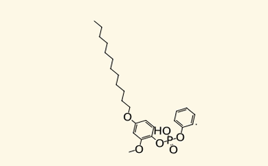 CCCCCCCCCCCCOc1ccc(OP(=O)(O)Oc2[c]cccc2)c(OC)c1